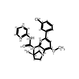 COc1cc(-c2cccc(Cl)c2)nc2c1N1CC[C@@H](C1)N2C(=O)Nc1cnccn1